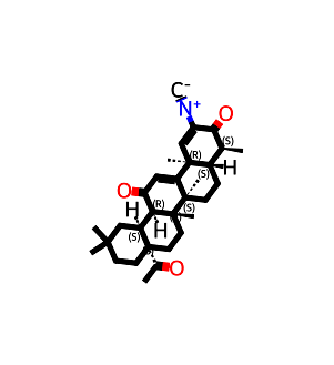 [C-]#[N+]C1=C[C@]2(C)C3=CC(=O)[C@@H]4[C@@H]5CC(C)(C)CC[C@]5(C(C)=O)CC[C@@]4(C)[C@]3(C)CC[C@H]2[C@H](C)C1=O